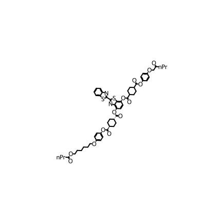 CCCC(=O)COc1ccc(OC(=O)C2CCC(C(=O)Oc3ccc(OC(=O)[C@H]4CC[C@H](C(=O)Oc5ccc(OCCCCCCOC(=O)CCC)cc5)CC4)c4nc(-c5nc6ccccc6s5)sc34)CC2)cc1